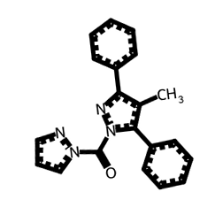 Cc1c(-c2ccccc2)nn(C(=O)n2cccn2)c1-c1ccccc1